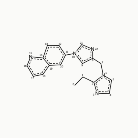 CCc1nccn1Cc1cn(-c2ccc3ncccc3c2)cn1